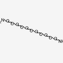 NCCOCCOCCOCCOCCOCCOCCOCCOCCOCCOCCOCCN